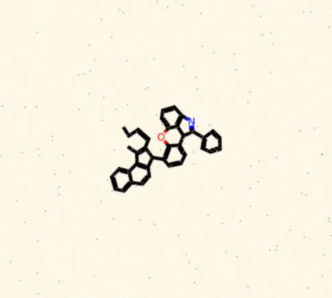 CC/C=C\C1=C(C)c2c(ccc3ccccc23)C1c1cccc2c1Oc1cccc3c1C2C(c1ccccc1)=N3